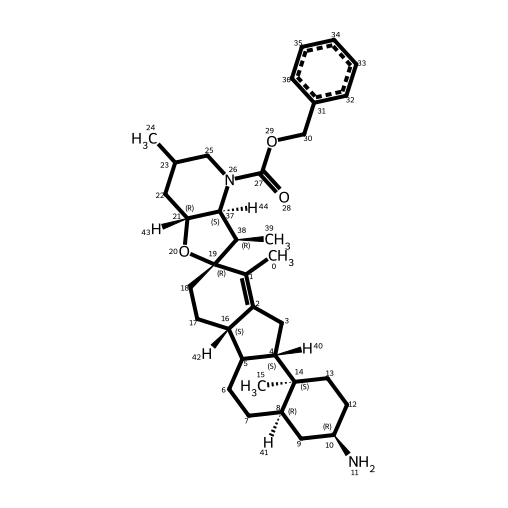 CC1=C2C[C@H]3C(CC[C@@H]4C[C@H](N)CC[C@@]43C)[C@@H]2CC[C@]12O[C@@H]1CC(C)CN(C(=O)OCc3ccccc3)[C@H]1[C@H]2C